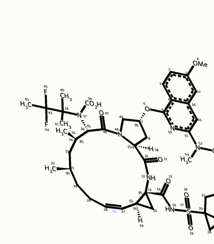 COc1ccc2c(O[C@@H]3C[C@H]4C(=O)N[C@]5(C(=O)NS(=O)(=O)C6(CF)CC6)C[C@H]5/C=C\CC[C@@H](C)C[C@@H](C)[C@H](N(C(=O)O)C(C)(C)C(C)(F)F)C(=O)N4C3)nc(N(C)C)cc2c1